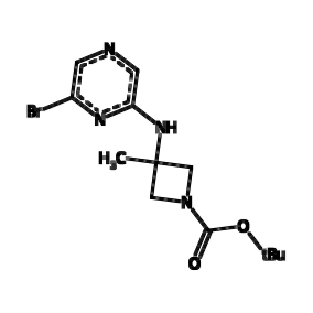 CC1(Nc2cncc(Br)n2)CN(C(=O)OC(C)(C)C)C1